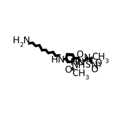 CC(=O)Nc1cc(NCCCCCCCCCCN)ccc1C(=O)Nc1nc(C)c([N+](=O)[O-])s1